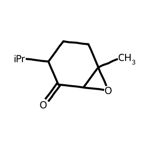 CC(C)C1CCC2(C)OC2C1=O